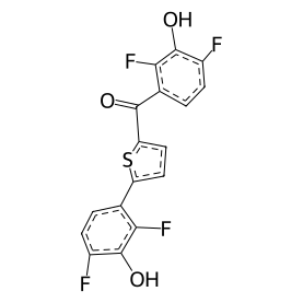 O=C(c1ccc(-c2ccc(F)c(O)c2F)s1)c1ccc(F)c(O)c1F